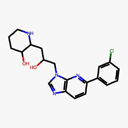 OC(CC1NCCCC1O)Cn1cnc2ccc(-c3cccc(Cl)c3)nc21